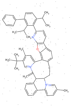 C=C1C2c3ccccc3-c3ccc(C)c[n+]3C2CCc2ccc3c(oc4nc(-c5c(C(C)C)ccc(-c6ccccc6)c5C(C)C)ccc43)c2-c2cc(C)c(C(C)(C)C)c[n+]21